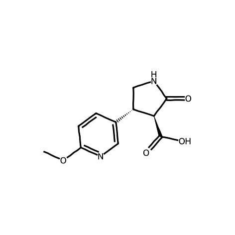 COc1ccc([C@@H]2CNC(=O)[C@H]2C(=O)O)cn1